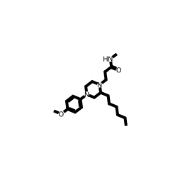 CCCCCCC1CN(c2ccc(OC)cc2)CCN1CCC(=O)NC